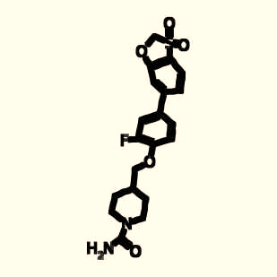 NC(=O)N1CCC(COc2ccc(-c3ccc4c(c3)OCS4(=O)=O)cc2F)CC1